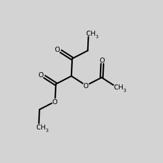 CCOC(=O)C(OC(C)=O)C(=O)CC